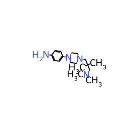 CN(C)CC(C)(C)CN1CCN(c2ccc(N)cc2)CC1